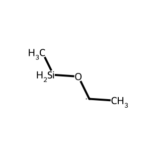 C[CH]O[SiH2]C